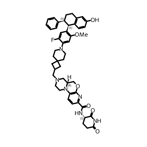 COc1cc(N2CCC3(CC2)CC(CN2CCN4c5ccc(C(=O)N[C@H]6CCC(=O)NC6=O)nc5OC[C@H]4C2)C3)c(F)cc1[C@@H]1c2ccc(O)cc2CC[C@@H]1c1ccccc1